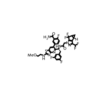 COCCNc1nc2nc([C@H](Cc3cc(F)cc(F)c3)NC(=O)Cn3nc(C(F)F)c4c3C(F)(F)C3C[C@H]43)c(-c3ccc(F)c(C(N)=O)c3)cc2s1